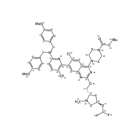 COc1ccc(CN(Cc2ccc(OC)cc2)c2ccc(C(F)(F)F)c(-c3cc4nc(OC[C@@H]5C[C@@H](OC(F)F)CN5C)nc(N5CCN(C(=O)OC(C)(C)C)CC5)c4cc3Cl)n2)cc1